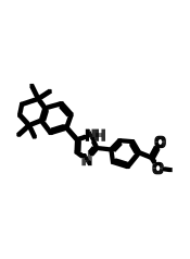 COC(=O)c1ccc(-c2ncc(-c3ccc4c(c3)C(C)(C)CCC4(C)C)[nH]2)cc1